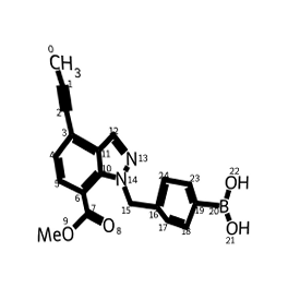 CC#Cc1ccc(C(=O)OC)c2c1cnn2Cc1ccc(B(O)O)cc1